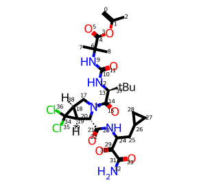 C=C(C)OC(=O)C(C)(C)NC(=O)N[C@H](C(=O)N1C[C@H]2[C@@H]([C@H]1C(=O)NC(CC1CC1)C(=O)C(N)=O)C2(Cl)Cl)C(C)(C)C